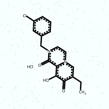 CCc1cn2ccn(Cc3cccc(Cl)c3)c(=O)c2c(O)c1=O.Cl